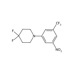 O=[N+]([O-])c1cc(N2CCC(F)(F)CC2)cc(C(F)(F)F)c1